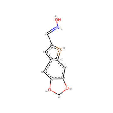 ON=Cc1cc2cc3c(cc2s1)OCO3